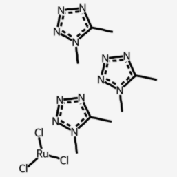 Cc1nnnn1C.Cc1nnnn1C.Cc1nnnn1C.[Cl][Ru]([Cl])[Cl]